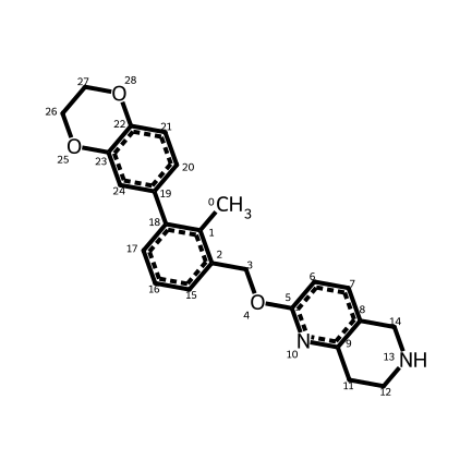 Cc1c(COc2ccc3c(n2)CCNC3)cccc1-c1ccc2c(c1)OCCO2